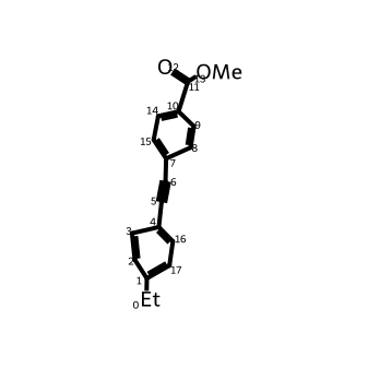 CCc1ccc(C#Cc2ccc(C(=O)OC)cc2)cc1